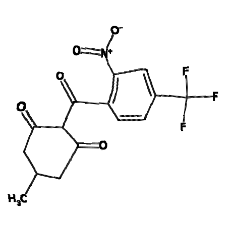 CC1CC(=O)C(C(=O)c2ccc(C(F)(F)F)cc2[N+](=O)[O-])C(=O)C1